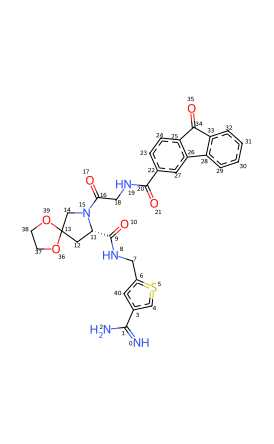 N=C(N)c1csc(CNC(=O)[C@@H]2CC3(CN2C(=O)CNC(=O)c2ccc4c(c2)-c2ccccc2C4=O)OCCO3)c1